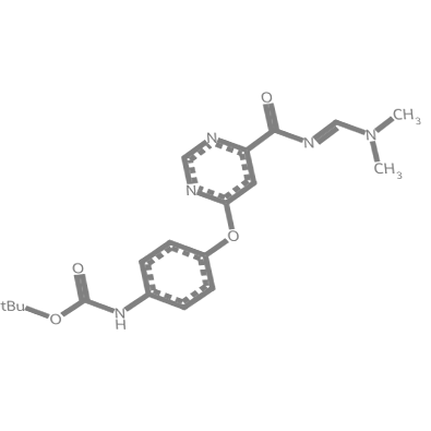 CN(C)/C=N/C(=O)c1cc(Oc2ccc(NC(=O)OC(C)(C)C)cc2)ncn1